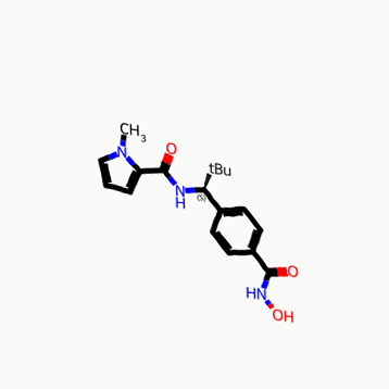 Cn1cccc1C(=O)N[C@H](c1ccc(C(=O)NO)cc1)C(C)(C)C